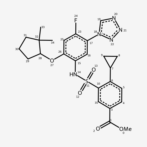 COC(=O)c1ccc(C2CC2)c(S(=O)(=O)Nc2cc(-n3cnnn3)c(F)cc2OC2CCCC2(C)C)c1